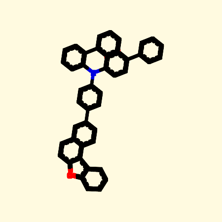 c1ccc(-c2ccc(N(c3ccc(-c4ccc5c(ccc6oc7ccccc7c65)c4)cc3)c3ccccc3-c3ccccc3)cc2)cc1